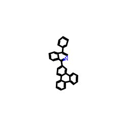 c1ccc(-c2cnc(-c3ccc4c5ccccc5c5ccccc5c4c3)c3ccccc23)cc1